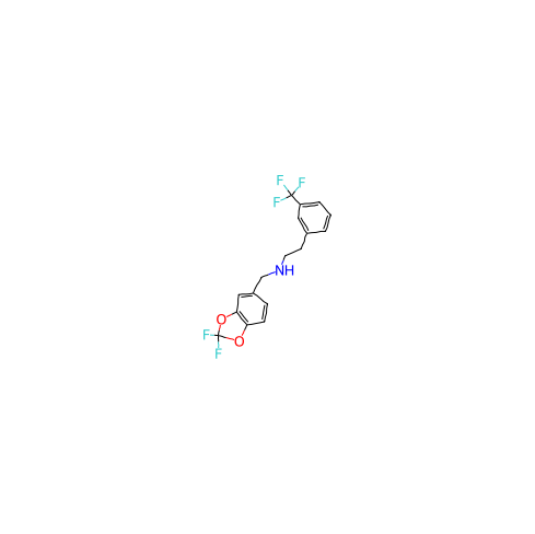 FC1(F)Oc2ccc(CNCCc3cccc(C(F)(F)F)c3)cc2O1